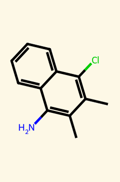 Cc1c(C)c(Cl)c2ccccc2c1N